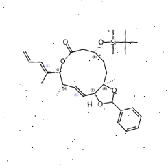 C=C/C=C(\C)[C@H]1OC(=O)C[C@H](O[Si](C)(C)C(C)(C)C)CC[C@@]2(C)OC(c3ccccc3)O[C@H]2/C=C/[C@@H]1C